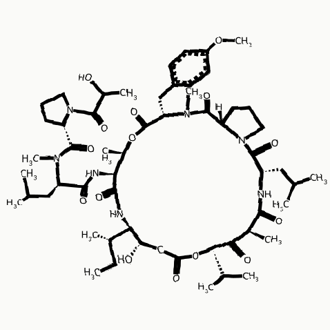 CC[C@H](C)[C@H]1NC(=O)[C@@H](NC(=O)[C@@H](CC(C)C)N(C)C(=O)[C@@H]2CCCN2C(=O)C(C)O)[C@@H](C)OC(=O)[C@H](Cc2ccc(OC)cc2)N(C)C(=O)[C@@H]2CCCN2C(=O)[C@H](CC(C)C)NC(=O)[C@@H](C)C(=O)[C@H](C(C)C)OC(=O)C[C@@H]1O